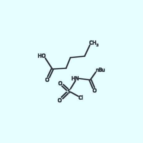 CCCCC(=O)NS(=O)(=O)Cl.CCCCC(=O)O